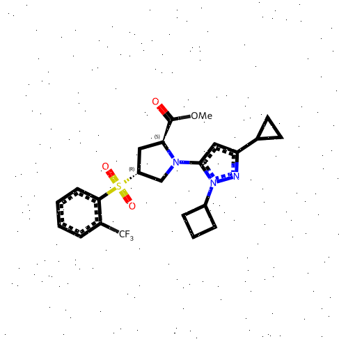 COC(=O)[C@@H]1C[C@@H](S(=O)(=O)c2ccccc2C(F)(F)F)CN1c1cc(C2CC2)nn1C1CCC1